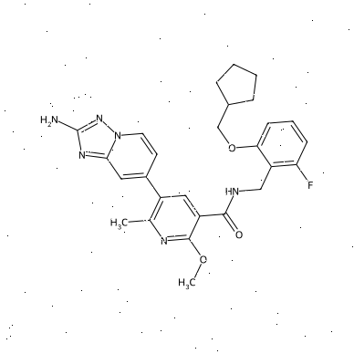 COc1nc(C)c(-c2ccn3nc(N)nc3c2)cc1C(=O)NCc1c(F)cccc1OCC1CCCC1